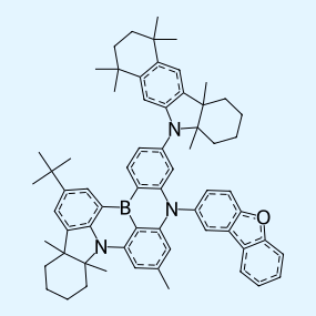 Cc1cc2c3c(c1)N1c4c(cc(C(C)(C)C)cc4C4(C)CCCCC14C)B3c1ccc(N3c4cc5c(cc4C4(C)CCCCC34C)C(C)(C)CCC5(C)C)cc1N2c1ccc2oc3ccccc3c2c1